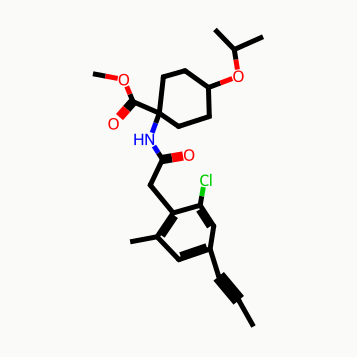 CC#Cc1cc(C)c(CC(=O)NC2(C(=O)OC)CCC(OC(C)C)CC2)c(Cl)c1